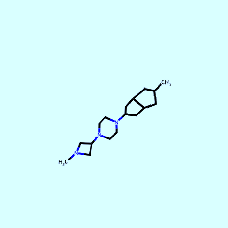 CC1CC2CC(N3CCN(C4CN(C)C4)CC3)CC2C1